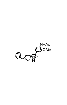 COc1cc(C(=O)CC2(O)CCN(Cc3ccccc3)CC2)ccc1NC(C)=O